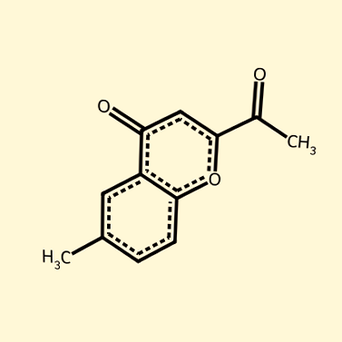 CC(=O)c1cc(=O)c2cc(C)ccc2o1